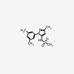 Cc1cc(C)cc(-n2nc(C)cc2NS(C)(=O)=O)c1